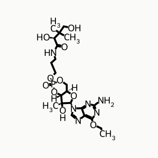 CCOc1nc(N)nc2c1ncn2[C@@H]1O[C@@H]2CO[P@@](=O)(OCCCNC(=O)[C@@H](O)C(C)(C)CO)O[C@H]2[C@@]1(C)O